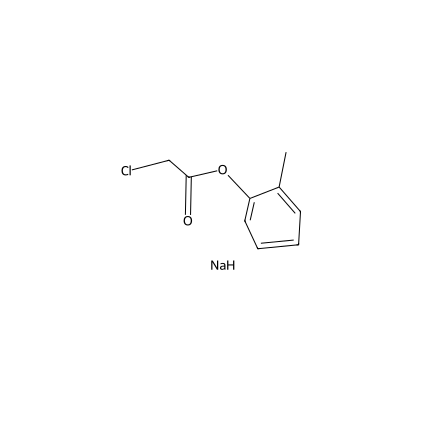 Cc1ccccc1OC(=O)CCl.[NaH]